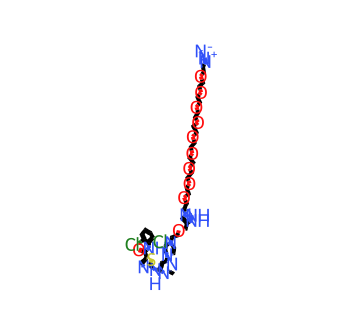 Cc1nc(Nc2ncc(C(=O)Nc3c(Cl)cccc3Cl)s2)cc(N2CCN(CCOCC3=CN(CCOCCOCCOCCOCCOCCOCCOCCOCCOCCN=[N+]=[N-])NN3)CC2)n1